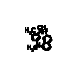 CNc1cc(N(C)c2cccc3ccccc23)ccc1C